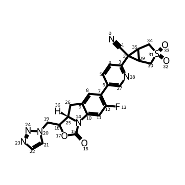 N#CC1(c2ccc(-c3cc4c(cc3F)N3C(=O)OC(Cn5ccnn5)[C@@H]3C4)cn2)C2CS(=O)(=O)CC21